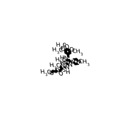 COCCOC(=O)c1sc(NC2=NC(N3CCN(C)CC3)=CC(C)(NCc3cc(OC)c(OC)c(OC)c3)N2)nc1C